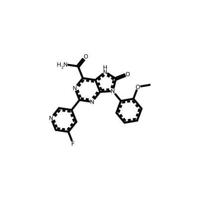 COc1ccccc1-n1c(=O)[nH]c2c(C(N)=O)nc(-c3cncc(F)c3)nc21